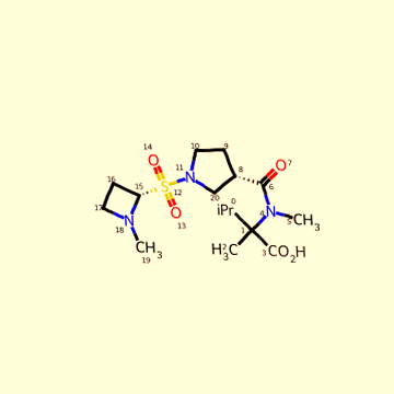 CC(C)C(C)(C(=O)O)N(C)C(=O)[C@H]1CCN(S(=O)(=O)[C@H]2CCN2C)C1